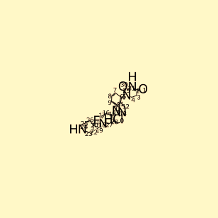 Cl.O=C1CCN(c2cccc3c2cnn3C2CCN(CC3(F)CCNCC3)CC2)C(=O)N1